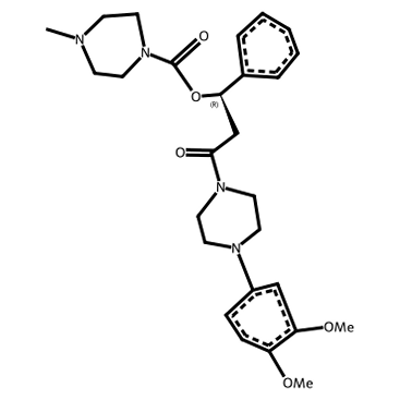 COc1ccc(N2CCN(C(=O)C[C@@H](OC(=O)N3CCN(C)CC3)c3ccccc3)CC2)cc1OC